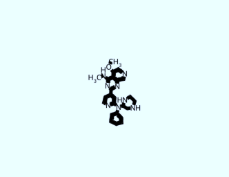 CNc1nc(-c2ccnc(N(c3ccccc3)C3CNCCN3)c2)nc2cncc(OC)c12